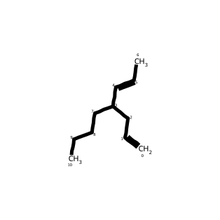 C=CCC(/C=C/C)CCCC